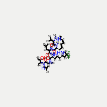 C=C/C=C\C=C\C[C@@H](C(=O)N(C)C(CC(C)C)C(=O)N[C@@H](CCC[C@@H]1CC(F)(F)CN1)C(=O)N(C)[C@@H](CC(C)C)C(=O)NC(C)C(C)O)N(C)C(=O)C(NC)C(C)C